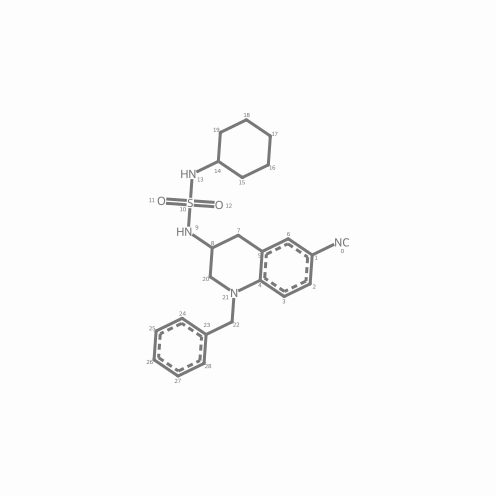 [C-]#[N+]c1ccc2c(c1)CC(NS(=O)(=O)NC1CCCCC1)CN2Cc1ccccc1